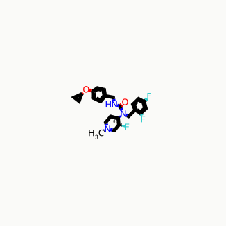 CN1CC[C@@H](N(Cc2ccc(F)cc2F)C(=O)NCc2ccc(OC3CC3)cc2)[C@@H](F)C1